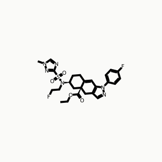 CCOC(=O)[C@]12Cc3cnn(-c4ccc(F)cc4)c3C=C1CC[C@H](N(CCF)S(=O)(=O)c1ncn(C)n1)C2